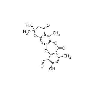 Cc1cc(O)c(C=O)c2c1C(=O)Oc1c(cc3c(c1C)C(=O)CC(C)(C)O3)O2